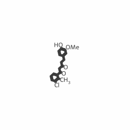 COc1cc(CCC(=O)CC(=O)c2cccc(Cl)c2C)ccc1O